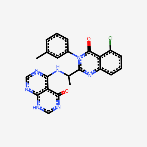 Cc1cccc(-n2c(C(C)Nc3ncnc4[nH]cnc(=O)c34)nc3cccc(Cl)c3c2=O)c1